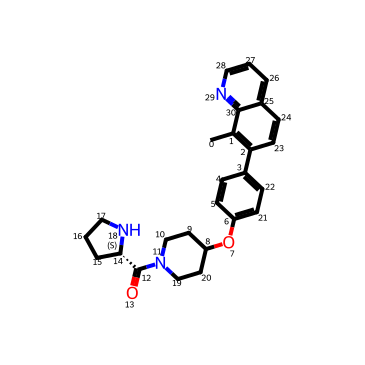 Cc1c(-c2ccc(OC3CCN(C(=O)[C@@H]4CCCN4)CC3)cc2)ccc2cccnc12